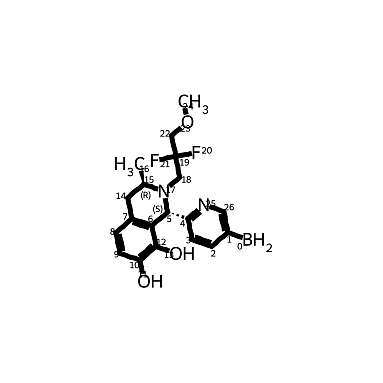 Bc1ccc([C@@H]2c3c(ccc(O)c3O)C[C@@H](C)N2CC(F)(F)COC)nc1